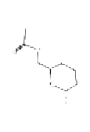 CC(=O)OCC1CCC[C@H](C)O1